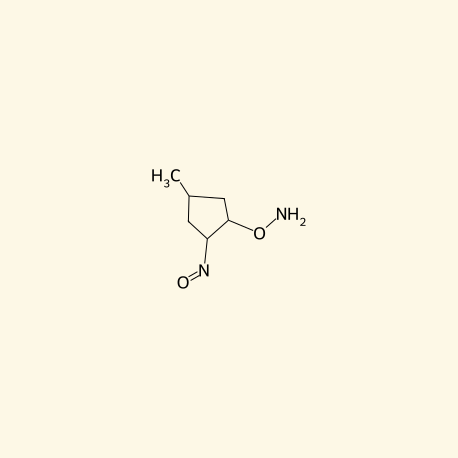 CC1CC(N=O)C(ON)C1